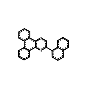 c1ccc2c(-c3cnc4c5ccccc5c5ccccc5c4n3)cccc2c1